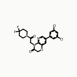 O=C(CN1C(=O)COc2cc(-c3cc(Cl)cc(Cl)c3)cnc21)N1CCC(F)(F)CC1